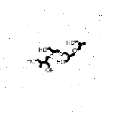 CC(CO)COCC(CO)COCC(CO)OCC(CO)C(C)CO